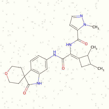 CC1CC(=C(NC(=O)c2ccnn2C)C(=O)Nc2ccc3c(c2)NC(=O)C32CCOCC2)C1C